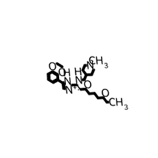 CCC(=O)CCCCC[C@H](NC(=O)C1CCN(C)CC1)C1=[N+]C=C(c2cccc3c2OCCO3)N1